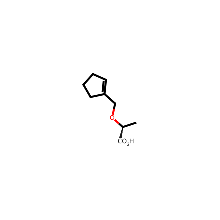 C[C@H](OCC1=CCCC1)C(=O)O